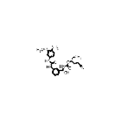 CC[C@H](CCC#N)OC(=O)N[C@@H](C)c1cccc(NC(=O)Nc2ccc(N)c(OC)c2)c1